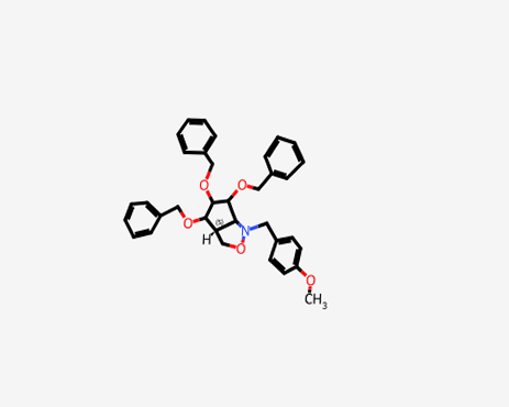 COc1ccc(CN2OC[C@H]3C(OCc4ccccc4)C(OCc4ccccc4)C(OCc4ccccc4)C32)cc1